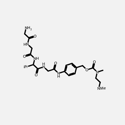 CNCCN(C)C(=O)OCc1ccc(NC(=O)CNC(=O)C(NC(=O)CNC(=O)CN)C(C)C)cc1